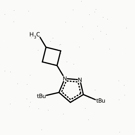 CC1CC(n2nc(C(C)(C)C)cc2C(C)(C)C)C1